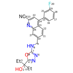 CCC(O)(CC)c1nnc(NCc2ccc3c(-c4cccc(F)c4)cc(C#N)nc3c2)o1